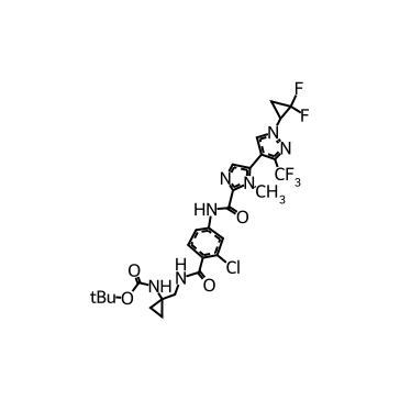 Cn1c(-c2cn(C3CC3(F)F)nc2C(F)(F)F)cnc1C(=O)Nc1ccc(C(=O)NCC2(NC(=O)OC(C)(C)C)CC2)c(Cl)c1